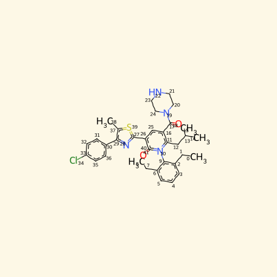 CCc1cccc(CC)c1-n1c(CC(C)C)c(C(=O)N2CCNCC2)cc(-c2nc(-c3ccc(Cl)cc3)c(C)s2)c1=O